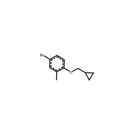 Cc1cc(Br)ccc1OCC1CC1